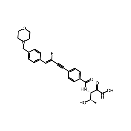 C[C@@H](O)[C@H](NC(=O)c1ccc(C#C/C(F)=C/c2ccc(CN3CCOCC3)cc2)cc1)C(=O)NO